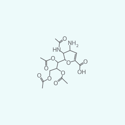 CC(=O)NC1C(N)C=C(C(=O)O)OC1C(OC(C)=O)C(COC(C)=O)OC(C)=O